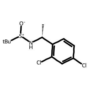 C[C@@H](N[S+]([O-])C(C)(C)C)c1ccc(Cl)cc1Cl